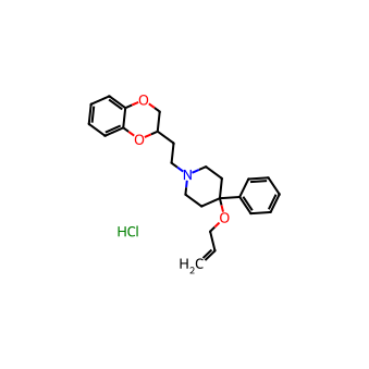 C=CCOC1(c2ccccc2)CCN(CCC2COc3ccccc3O2)CC1.Cl